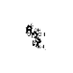 Nc1ncnc2c1ccn2[C@@H]1O[C@H]([C@@H]2OCc3ccc(Cl)cc32)[C@@H](O)[C@H]1O